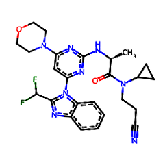 C[C@H](Nc1nc(N2CCOCC2)cc(-n2c(C(F)F)nc3ccccc32)n1)C(=O)N(CCC#N)C1CC1